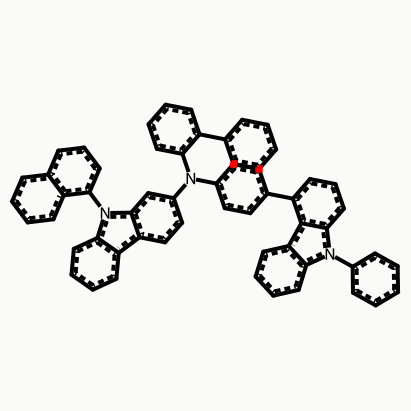 c1ccc(-c2ccccc2N(c2ccc(-c3cccc4c3c3ccccc3n4-c3ccccc3)cc2)c2ccc3c4ccccc4n(-c4cccc5ccccc45)c3c2)cc1